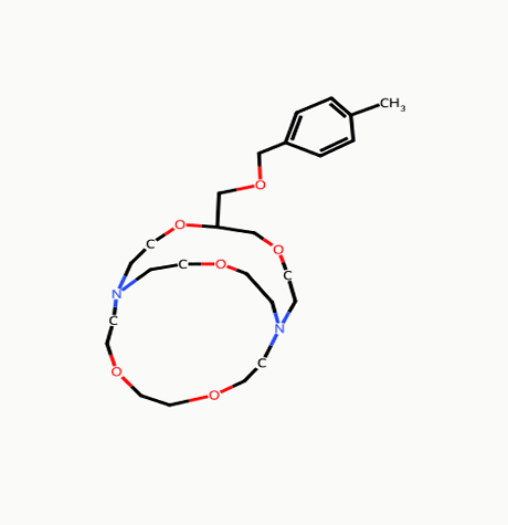 Cc1ccc(COCC2COCCN3CCOCCOCCN(CCOCC3)CCO2)cc1